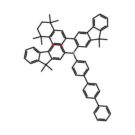 CC1(C)CCC(C)(C)c2cc(-c3cc4c(cc3N(c3ccc(-c5ccc(-c6ccccc6)cc5)cc3)c3ccc5c(c3)C(C)(C)c3ccccc3-5)C(C)(C)c3ccccc3-4)ccc21